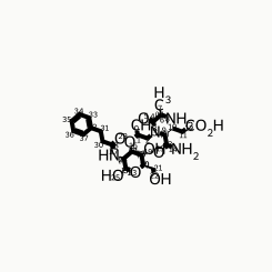 CC(CN(C(=O)[C@H](C)N)[C@H](CCC(=O)O)C(N)=O)O[C@H]1[C@H](O)[C@@H](CO)O[C@H](O)[C@@H]1NC(=O)CCc1ccccc1